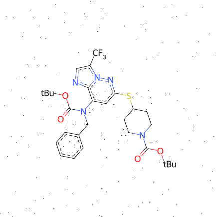 CC(C)(C)OC(=O)N1CCC(Sc2cc(N(Cc3ccccc3)C(=O)OC(C)(C)C)c3ncc(C(F)(F)F)n3n2)CC1